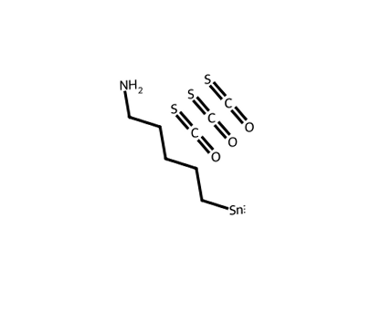 NCCCC[CH2][Sn].O=C=S.O=C=S.O=C=S